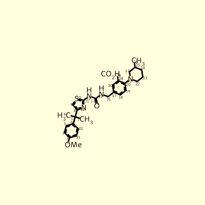 COc1ccc(C(C)(C)c2csc(NC(=O)NCc3ccc(N4CCCC(C)C4)c(C(=O)O)c3)n2)cc1